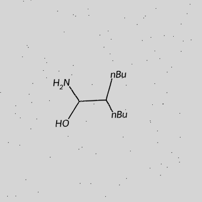 CCCCC(CCCC)C(N)O